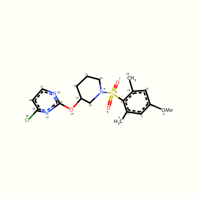 COc1cc(C)c(S(=O)(=O)N2CCCC(Oc3nccc(Cl)n3)C2)c(C)c1